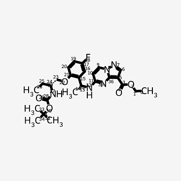 CCOC(=O)c1cnn2ccc(N[C@H](C)c3cc(F)ccc3OC[C@@H](CC)NC(=O)OC(C)(C)C)nc12